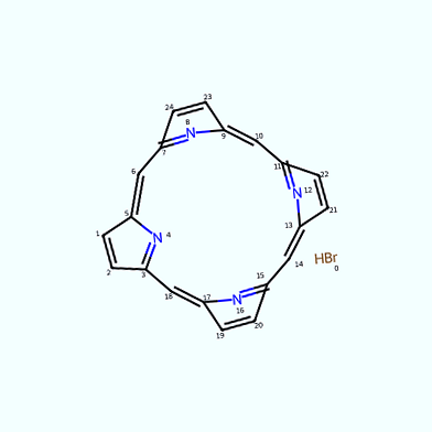 Br.C1=CC2=NC1=CC1=NC(=CC3=NC(=CC4=NC(=C2)C=C4)C=C3)C=C1